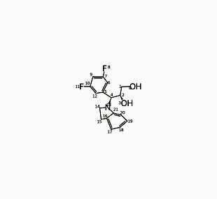 OC[C@@H](O)[C@H](c1cc(F)cc(F)c1)N1CCc2ccccc21